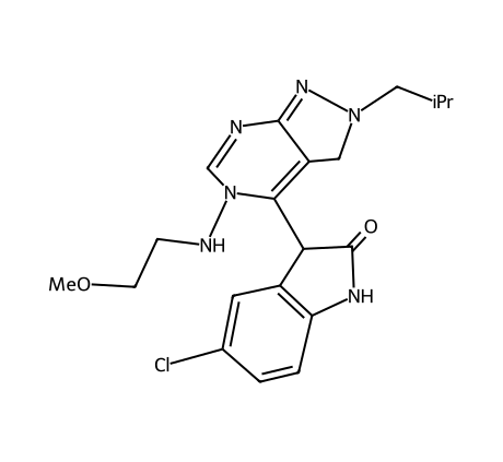 COCCNN1C=NC2=NN(CC(C)C)CC2=C1C1C(=O)Nc2ccc(Cl)cc21